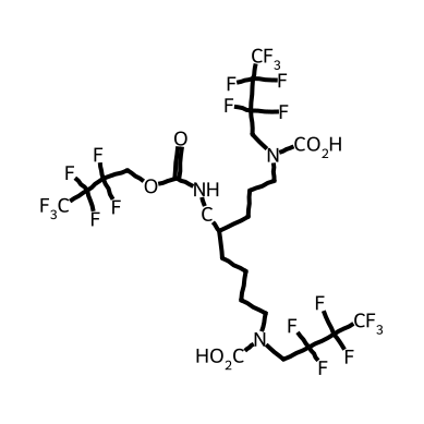 O=C(NCC(CCCCN(CC(F)(F)C(F)(F)C(F)(F)F)C(=O)O)CCCN(CC(F)(F)C(F)(F)C(F)(F)F)C(=O)O)OCC(F)(F)C(F)(F)C(F)(F)F